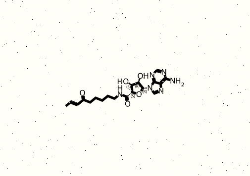 CC=CC(=O)CCCCCNC(=O)[C@H]1O[C@@H](n2cnc3c(N)ncnc32)[C@H](O)[C@@H]1O